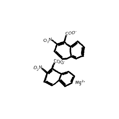 O=C([O-])c1c([N+](=O)[O-])ccc2ccccc12.O=C([O-])c1c([N+](=O)[O-])ccc2ccccc12.[Mg+2]